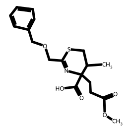 COC(=O)CCC1(C(=O)O)N=C(COCc2ccccc2)SCC1C